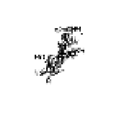 CCCOC(=O)[C@H](CC(N)=O)NC(=O)[C@H](CS)NN[C@@H](CS)C(=O)N[C@@H](Cc1ccc(O)cc1)C(=O)N[C@@H](CCC(=O)O)C(=O)N[C@@H](CS)C(=O)C(=O)[C@H](CS)NCSS